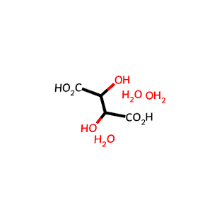 O.O.O.O=C(O)C(O)C(O)C(=O)O